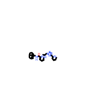 O=C(NCC12CC3CC(CC(C3)C1)C2)c1cccc2nc(Cn3nnc(-c4ccccn4)n3)cn12